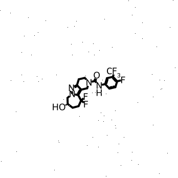 O=C(Nc1ccc(F)c(C(F)(F)F)c1)N1CCc2nn3c(c2C1)C(F)(F)CC[C@@H](O)C3